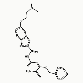 C=C(/C=C(/OCc1ccccc1)C(=C)N)NC(=O)c1cc2cc(OCCN(C)C)ccc2[nH]1